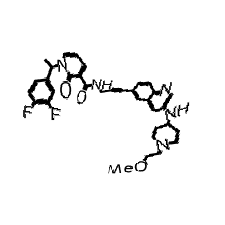 COCCN1CCC(Nc2cnc3ccc(C#CCNC(=O)c4cccn(C(C)c5ccc(F)c(F)c5)c4=O)cc3c2)CC1